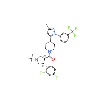 Cc1cc(C2CCN(C(=O)[C@@H]3CN(C(C)(C)C)C[C@H]3c3ccc(F)cc3F)CC2)n(-c2cccc(C(F)(F)F)c2)n1